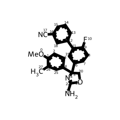 COc1ccc(C2(c3ccc(F)c(-c4cccc(C#N)c4)c3)COC(N)=N2)cc1C